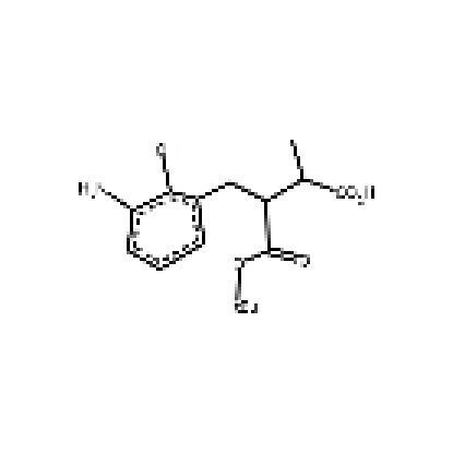 CC(C(=O)O)C(Cc1cccc(N)c1O)C(=O)OC(C)(C)C